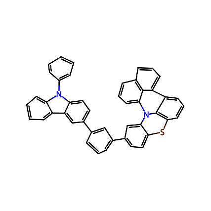 c1ccc(-n2c3ccccc3c3cc(-c4cccc(-c5ccc6sc7cccc8c7-n(c6c5)c5cccc6cccc8c65)c4)ccc32)cc1